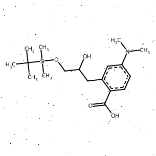 CN(C)c1ccc(C(=O)O)c(CC(O)CO[Si](C)(C)C(C)(C)C)c1